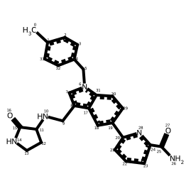 Cc1ccc(Cn2cc(CNC3CCNC3=O)c3cc(-c4cccc(C(N)=O)n4)ccc32)cc1